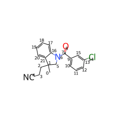 CC1(CCC#N)CN(C(=O)c2cccc(Cl)c2)c2ccccc21